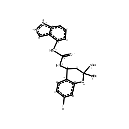 CCCCC1(CCCC)CC(NC(=O)Nc2cccc3[nH]ncc23)c2ccc(F)cc2O1